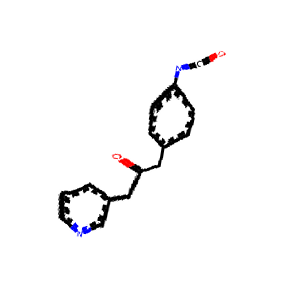 O=C=Nc1ccc(CC(=O)Cc2cccnc2)cc1